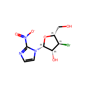 O=[N+]([O-])c1nccn1[C@@H]1O[C@H](CO)[C@@H](Br)[C@@H]1O